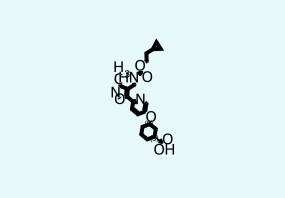 Cc1noc(-c2ccc(O[C@H]3CCC[C@H](C(=O)O)C3)cn2)c1CNC(=O)OCCC1CC1